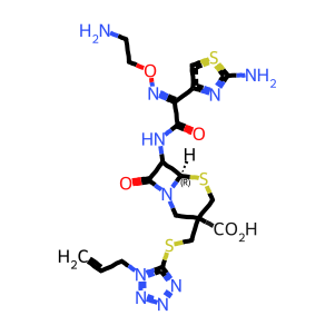 C=CCn1nnnc1SCC1(C(=O)O)CS[C@@H]2C(NC(=O)C(=NOCCN)c3csc(N)n3)C(=O)N2C1